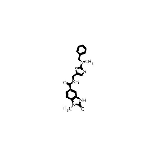 CN(Cc1ccccc1)c1ncc(CNC(=O)c2ccc3c(c2)[nH]c(=O)n3C)s1